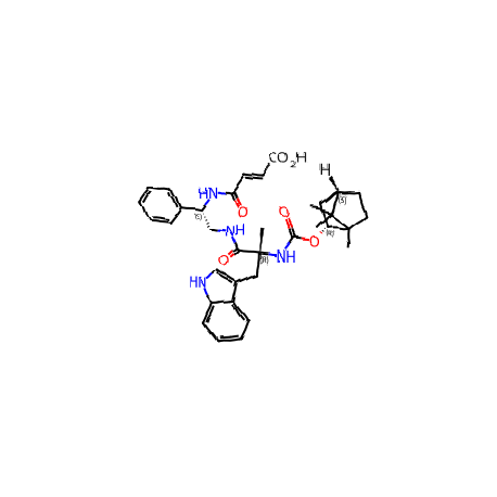 CC1(C)[C@H]2CCC1(C)[C@H](OC(=O)N[C@](C)(Cc1c[nH]c3ccccc13)C(=O)NC[C@@H](NC(=O)C=CC(=O)O)c1ccccc1)C2